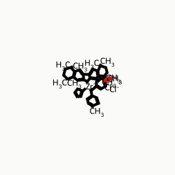 Cc1ccc([C](c2ccc(C)cc2)=[Zr+2]([C]2=CC=CC2)[CH]2c3cc4c(cc3-c3cc5c(cc32)C(C)(C)CCC5(C)C)C(C)(C)CCC4(C)C)cc1.[Cl-].[Cl-]